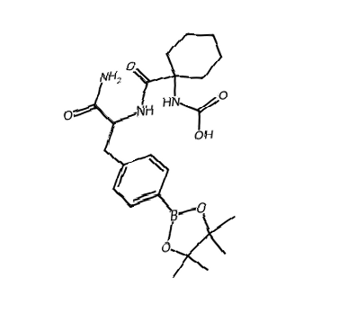 CC1(C)OB(c2ccc(CC(NC(=O)C3(NC(=O)O)CCCCC3)C(N)=O)cc2)OC1(C)C